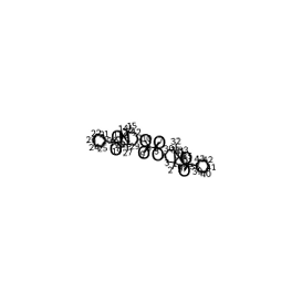 CC1(C)CC(OC(=O)C(=O)OC2CC(C)(C)N(OC(=O)c3ccccc3)C(C)(C)C2)CC(C)(C)N1OC(=O)c1ccccc1